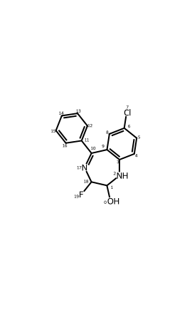 OC1Nc2ccc(Cl)cc2C(c2ccccc2)=NC1F